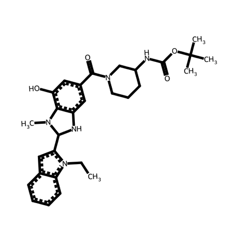 CCn1c(C2Nc3cc(C(=O)N4CCCC(NC(=O)OC(C)(C)C)C4)cc(O)c3N2C)cc2ccccc21